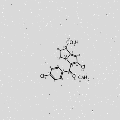 O=C(c1ccc(Cl)cc1)c1c(Cl)cc2n1CCC2C(=O)O.[CaH2]